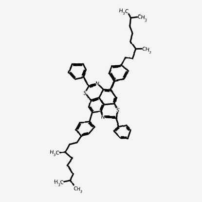 CC(C)CCCC(C)CCc1ccc(-c2cc3c4c(c(-c5ccc(CCC(C)CCCC(C)C)cc5)cc5c4c2N=C(c2ccccc2)S5)N=C(c2ccccc2)S3)cc1